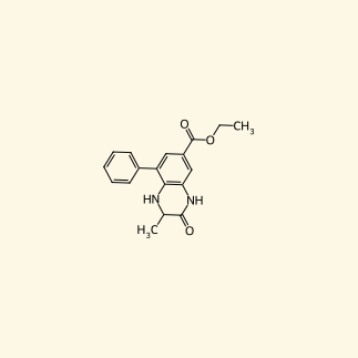 CCOC(=O)c1cc2c(c(-c3ccccc3)c1)NC(C)C(=O)N2